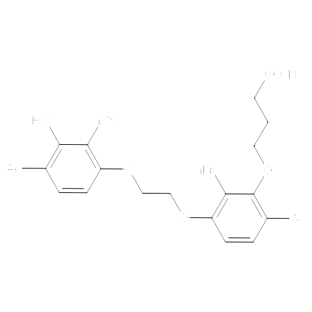 CCCc1c(OCCOc2ccc(C(C)=O)c(OCCCC(=O)O)c2CCC)ccc(C(C)=O)c1O